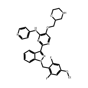 CCOc1cc(F)c(Cn2nc(-c3ncc(OCC4CNCCO4)c(Nc4ccncc4)n3)c3ccccc32)c(F)c1